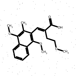 COCCC(=Cc1c(C)c(OC)c2ccccc2c1OC)C(=O)O